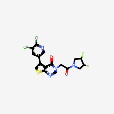 O=C(Cn1cnc2scc(-c3cnc(Cl)c(Cl)c3)c2c1=O)N1CC(F)C(F)C1